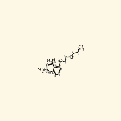 C=CCOCCOc1cccc2nc(N)nc(N)c12